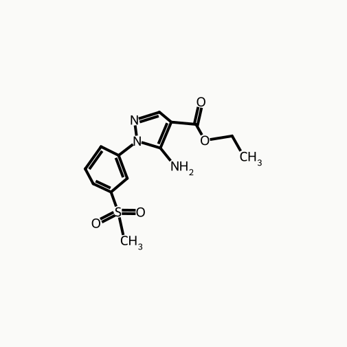 CCOC(=O)c1cnn(-c2cccc(S(C)(=O)=O)c2)c1N